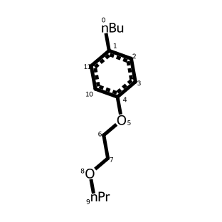 CCCCc1ccc(OCCOCCC)cc1